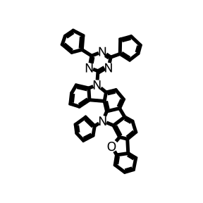 c1ccc(-c2nc(-c3ccccc3)nc(-n3c4ccccc4c4c3ccc3c5ccc6c7ccccc7oc6c5n(-c5ccccc5)c34)n2)cc1